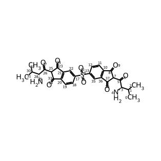 CC(C)[C@@H](N)C(=O)C1C(=O)c2ccc(S(=O)(=O)c3ccc4c(c3)C(=O)C(C(=O)[C@H](N)C(C)C)C4=O)cc2C1=O